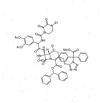 CCN1CCN(C(=O)NC(C(=O)N[C@]2(NC=O)C(=O)N3C(C(=O)OC(c4ccccc4)c4ccccc4)=C(CSc4nnnn4C(C(=O)OC)(c4ccccc4)c4ccccc4)C[S+]([O-])[C@H]32)c2ccc(OC(C)=O)c(OC(C)=O)c2)C(=O)C1=O